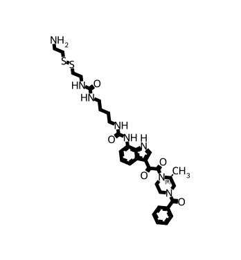 C[C@@H]1CN(C(=O)c2ccccc2)CCN1C(=O)C(=O)c1c[nH]c2c(NC(=O)NCCCCNC(=O)NCCSSCCN)cccc12